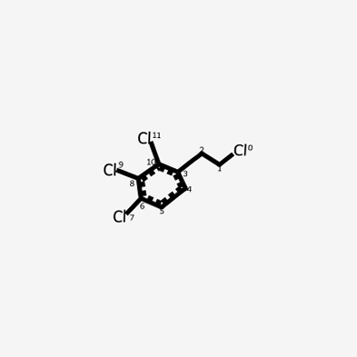 ClCCc1ccc(Cl)c(Cl)c1Cl